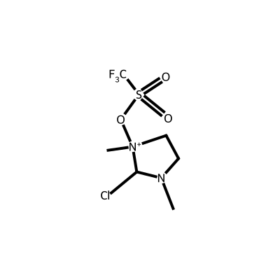 CN1CC[N+](C)(OS(=O)(=O)C(F)(F)F)C1Cl